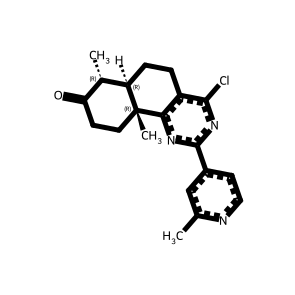 Cc1cc(-c2nc(Cl)c3c(n2)[C@]2(C)CCC(=O)[C@H](C)[C@H]2CC3)ccn1